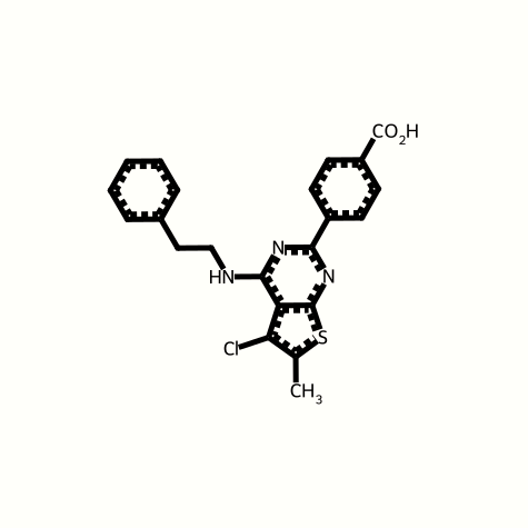 Cc1sc2nc(-c3ccc(C(=O)O)cc3)nc(NCCc3ccccc3)c2c1Cl